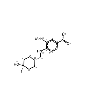 CNc1cc([SH](=O)=O)cnc1NC[C@H]1CC[C@](C)(O)CC1